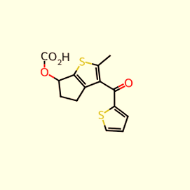 Cc1sc2c(c1C(=O)c1cccs1)CCC2OC(=O)O